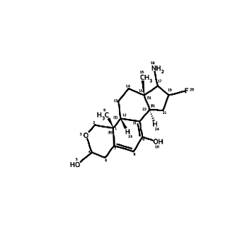 C[C@]12COC(O)CC1=CC(O)=C1[C@H]2CC[C@]2(C)C(N)C(F)C[C@@H]12